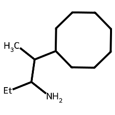 CCC(N)C(C)C1CCCCCCC1